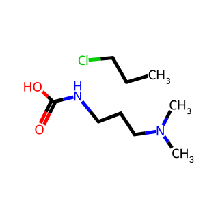 CCCCl.CN(C)CCCNC(=O)O